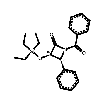 CC[Si](CC)(CC)O[C@H]1C(=O)N(C(=O)c2ccccc2)[C@H]1c1ccccc1